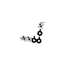 Cc1ccccc1.Cc1ccccc1.Cc1ccccc1.O=S(=O)([O-])[O-].O=S(=O)([O-])[O-].O=S(=O)([O-])[O-].[Fe+3].[Fe+3]